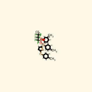 Cc1ccc(Sc2ccc(S(OS(=O)(=O)C(F)(F)C(F)(F)C(F)(F)C(F)(F)F)(c3ccc(C)cc3)c3ccc(C)cc3)s2)cc1